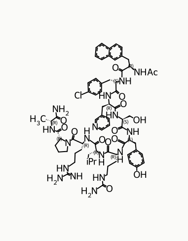 CC(=O)N[C@H](Cc1ccc2ccccc2c1)C(=O)N[C@@H](Cc1ccc(Cl)cc1)C(=O)N[C@H](Cc1cccnc1)C(=O)N[C@@H](CO)C(=O)N[C@@H](Cc1ccc(O)cc1)C(=O)N[C@H](CCCNC(N)=O)C(=O)N[C@H](CC(C)C)C(=O)N[C@H](CCCNC(=N)N)C(=O)N1CCC[C@@H]1C(=O)N[C@H](C)C(N)=O